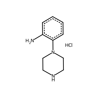 Cl.Nc1ccccc1N1CCNCC1